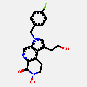 O=C1c2ncc3c(c(CCO)cn3Cc3ccc(F)cc3)c2CCN1O